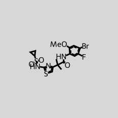 COc1cc(Br)c(F)cc1NC(=O)C(C)(C)c1csc(NS(=O)(=O)C2CC2)n1